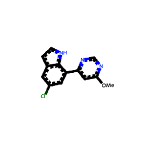 COc1cc(-c2cc(Cl)cc3cc[nH]c23)ncn1